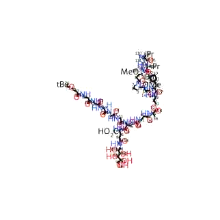 CC[C@H](C)[C@@H]([C@@H](CC(=O)N1CCC[C@H]1[C@H](OC)[C@@H](C)C(=O)N[C@@H](Cc1ccccc1)C(=O)NCCCOC(=O)C(C)NC(=O)CCNC(=O)OCC(NC(=O)CNC(=O)CNC(=O)CNC(=O)CNC(=O)CCNC(=O)CCOCC(C)(C)C)C(=O)NC(CCC(=O)NC[C@@H](O)[C@H](O)[C@@H](O)[C@@H](O)CO)C(=O)O)OC)N(C)C(=O)[C@@H](NC(=O)[C@H](C(C)C)N(C)C)C(C)C